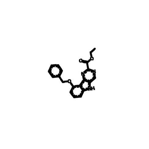 CCOC(=O)c1ncc2[nH]c3cccc(OCc4ccccc4)c3c2n1